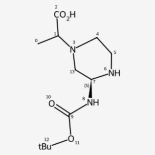 CC(C(=O)O)N1CCN[C@@H](NC(=O)OC(C)(C)C)C1